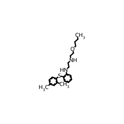 CCCCOCCNCCNc1ccccc1Sc1ccc(C)cc1C